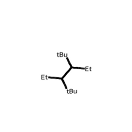 CCC(C(CC)C(C)(C)C)C(C)(C)C